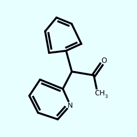 CC(=O)C(c1ccccc1)c1ccccn1